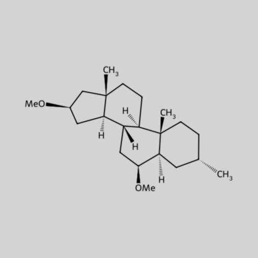 CO[C@@H]1C[C@@H]2[C@H]3C[C@H](OC)[C@@H]4C[C@@H](C)CC[C@@]4(C)[C@@H]3CC[C@@]2(C)C1